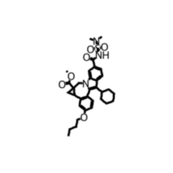 CCCCOc1ccc2c(c1)C1CC1(C(=O)OC)Cn1c-2c(C2CCCCC2)c2ccc(C(=O)NS(=O)(=O)N(C)C)cc21